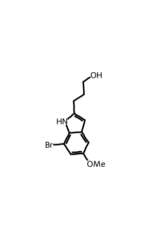 COc1cc(Br)c2[nH]c(CCCO)cc2c1